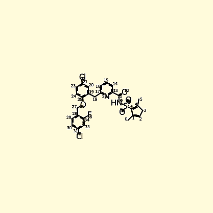 CC1=CCC(C)=C1S(=O)(=O)NC(=O)c1cccc(Cc2cc(Cl)ccc2OCc2ccc(Cl)cc2F)n1